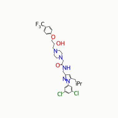 CC(C)Cc1cc(CNC(=O)CN2CCN(C[C@@H](O)COc3ccc(C(F)(F)F)cc3)CC2)nn1-c1cc(Cl)cc(Cl)c1